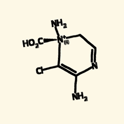 NC1=C(Cl)[N@@+](N)(C(=O)O)CC=N1